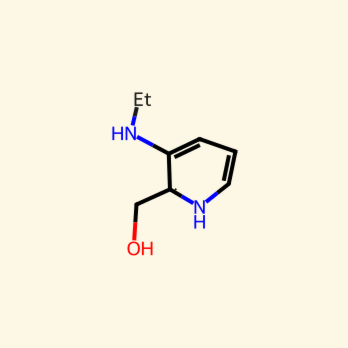 CCNC1=CC=CN[C]1CO